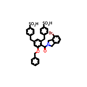 O=C(c1c(Cc2ccc(S(=O)(=O)O)cc2)cc(Cc2ccc(S(=O)(=O)O)cc2)cc1OCc1ccccc1)N1Cc2cccc(Br)c2C1